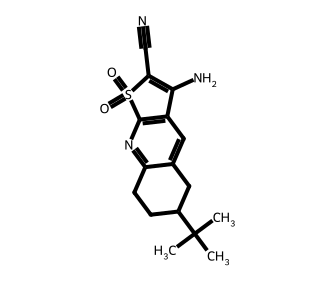 CC(C)(C)C1CCc2nc3c(cc2C1)C(N)=C(C#N)S3(=O)=O